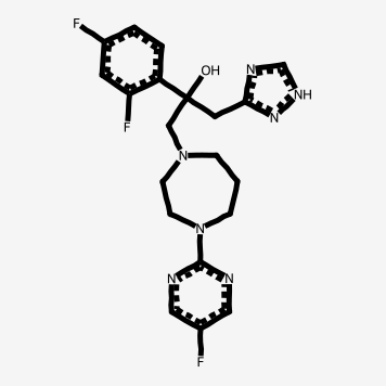 OC(Cc1nc[nH]n1)(CN1CCCN(c2ncc(F)cn2)CC1)c1ccc(F)cc1F